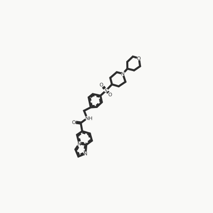 O=C(NCc1ccc(S(=O)(=O)C2CCN(C3CCOCC3)CC2)cc1)c1ccc2nccn2c1